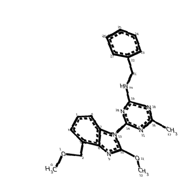 COCc1cccc2c1nc(OC)n2-c1nc(C)nc(NCc2ccccc2)n1